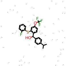 CC(C)c1ccc(C(O)c2ccc(OC(F)(F)F)cc2Sc2ccccc2F)cc1